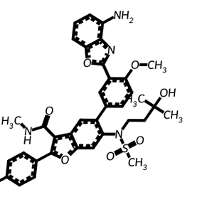 CNC(=O)c1c(-c2ccc(F)cc2)oc2cc(N(CCC(C)(C)O)S(C)(=O)=O)c(-c3ccc(OC)c(-c4nc5c(N)cccc5o4)c3)cc12